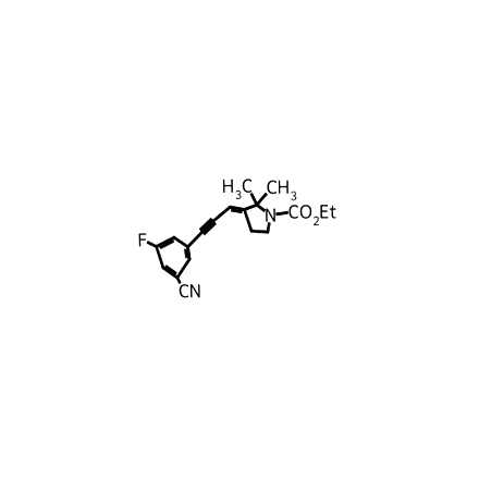 CCOC(=O)N1CC/C(=C\C#Cc2cc(F)cc(C#N)c2)C1(C)C